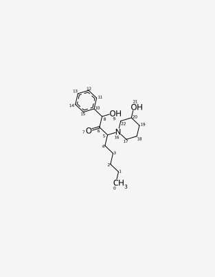 CCCCCC(C(=O)C(O)c1ccccc1)N1CCCC(O)C1